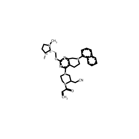 C=CC(=O)N1CCN(c2nc(OC[C@@H]3[C@H](F)CCN3C)nc3c2CCN(c2cccc4ccccc24)C3)CC1CC#N